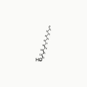 CCCCCCCCC=CC=CC=CO